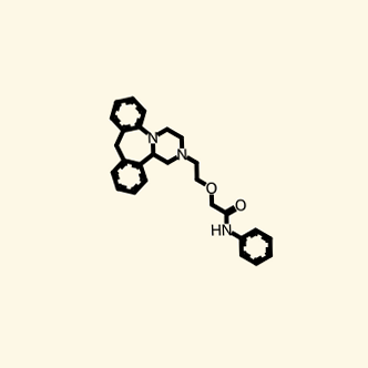 O=C(COCCN1CCN2c3ccccc3Cc3ccccc3C2C1)Nc1ccccc1